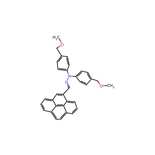 COCc1ccc(N(N=Cc2cc3cccc4ccc5cccc2c5c43)c2ccc(COC)cc2)cc1